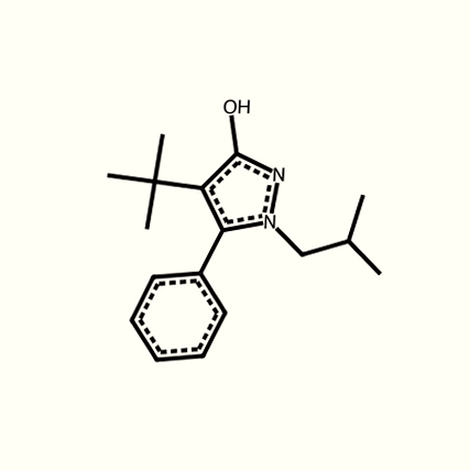 CC(C)Cn1nc(O)c(C(C)(C)C)c1-c1ccccc1